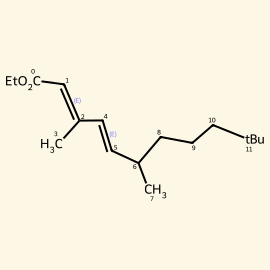 CCOC(=O)/C=C(C)/C=C/C(C)CCCC(C)(C)C